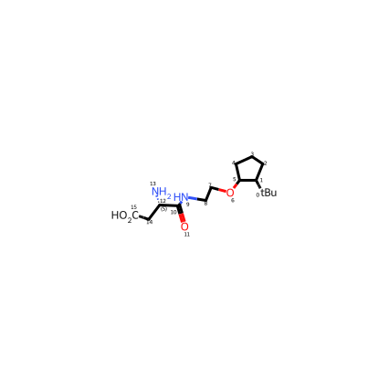 CC(C)(C)C1CCCC1OCCNC(=O)[C@@H](N)CC(=O)O